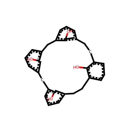 Oc1c2cccc1CCc1cccc(c1O)Cc1cccc(c1O)Cc1cccc(c1O)CC2